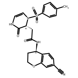 Cc1ccc(S(=O)(=O)N2C=CNC(=O)[C@H]2CC(=O)N[C@@H]2CCOc3cc(C#N)ccc32)cc1